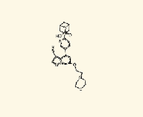 N#Cc1cnn2cc(OCCN3CCOCC3)cc(-c3ccc(N4CC5CC(C4)N5C(=O)O)nc3)c12